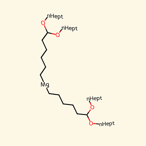 CCCCCCCOC(CCCC[CH2][Mg][CH2]CCCCC(OCCCCCCC)OCCCCCCC)OCCCCCCC